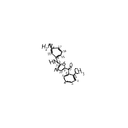 Cc1ccccc1C(=O)c1cnc(Nc2cccc(N)c2)s1